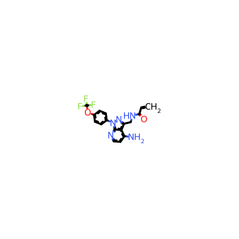 C=CC(=O)NCc1nn(-c2ccc(OC(F)(F)F)cc2)c2nccc(N)c12